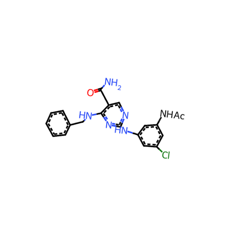 CC(=O)Nc1cc(Cl)cc(Nc2ncc(C(N)=O)c(NCc3ccccc3)n2)c1